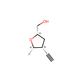 C#C[C@H]1C[C@@H](CO)O[C@H]1C